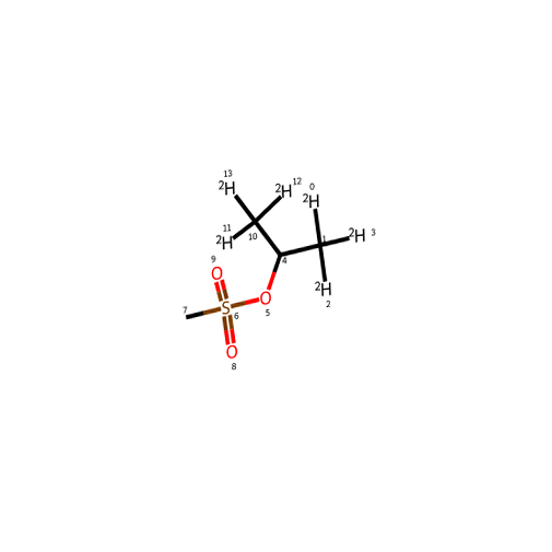 [2H]C([2H])([2H])C(OS(C)(=O)=O)C([2H])([2H])[2H]